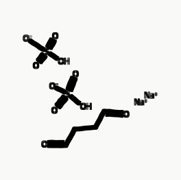 O=CCCC=O.O=S(=O)([O-])O.O=S(=O)([O-])O.[Na+].[Na+]